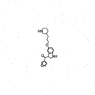 O=C(c1ccoc1)C1CNc2ccc(OCCCC3CCCNC3)cc21